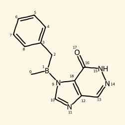 CB(Cc1ccccc1)n1cnc2cn[nH]c(=O)c21